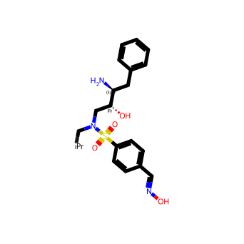 CC(C)CN(C[C@@H](O)[C@@H](N)Cc1ccccc1)S(=O)(=O)c1ccc(C=NO)cc1